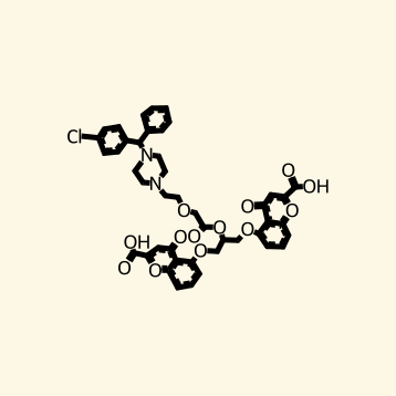 O=C(COCCN1CCN(C(c2ccccc2)c2ccc(Cl)cc2)CC1)OC(COc1cccc2oc(C(=O)O)cc(=O)c12)COc1cccc2oc(C(=O)O)cc(=O)c12